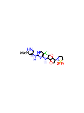 CN/C=C(\C=N)Nc1ncc(Cl)c(NC2COC3C2OCC3N2CCCS2(=O)=O)n1